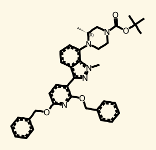 C[C@@H]1CN(C(=O)OC(C)(C)C)CCN1c1cccc2c(-c3ccc(OCc4ccccc4)nc3OCc3ccccc3)nn(C)c12